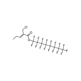 CCC=C(CCl)C(=O)OC(F)(F)C(F)(F)C(F)(F)C(F)(F)C(F)(F)C(F)(F)C(F)(F)C(F)(F)F